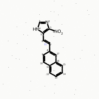 O=[N+]([O-])c1nc[nH]c1/C=C/c1ccc2ccccc2c1